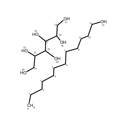 CCCCCCCCCCCCO.OCC(O)C(O)C(O)C(O)CO